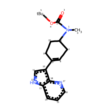 CN(C(=O)OC(C)(C)C)C1CC=C(c2c[nH]c3cccnc23)CC1